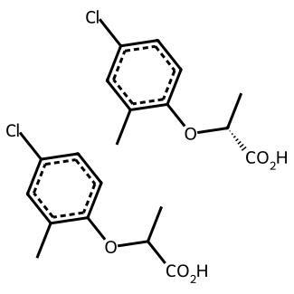 Cc1cc(Cl)ccc1OC(C)C(=O)O.Cc1cc(Cl)ccc1O[C@H](C)C(=O)O